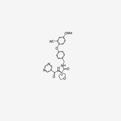 COc1ccc(Oc2ccc(CNC(=O)[C@@]3(NC(=O)c4cncnc4)CCOC3)cc2)c(C#N)c1